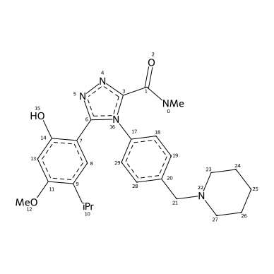 CNC(=O)c1nnc(-c2cc(C(C)C)c(OC)cc2O)n1-c1ccc(CN2CCCCC2)cc1